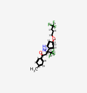 Cc1ccc(C(=O)C[C@@](N)(c2ccc(OCCCC(F)(F)F)cc2)C(F)(F)F)cc1